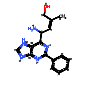 CC(=CC(N)c1nc(-c2ccccc2)nc2nc[nH]c12)CO